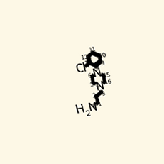 NCCCN1CCN(c2ccccc2Cl)CC1